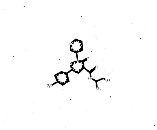 O=C(NC(CO)C(F)(F)F)c1cc(-c2ccc(C(F)(F)F)cc2)nn(-c2cccnc2)c1=O